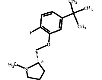 CN1CCC[C@H]1COc1cc(C(C)(C)C)ccc1F